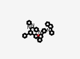 c1ccc(-c2cc(-c3ccccc3)cc(-c3nc4ccccc4nc3-c3ccc(-n4c5ccc(-n6c7ccccc7c7ccc8ccccc8c76)cc5c5cc6ccccc6cc54)cc3)c2)cc1